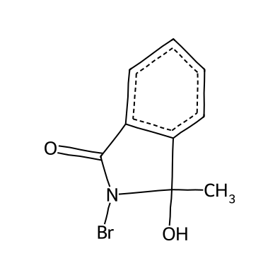 CC1(O)c2ccccc2C(=O)N1Br